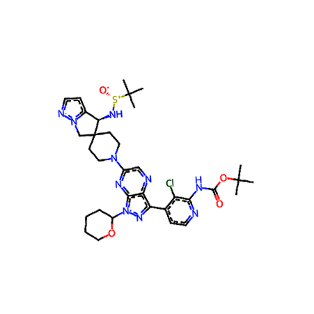 CC(C)(C)OC(=O)Nc1nccc(-c2nn(C3CCCCO3)c3nc(N4CCC5(CC4)Cn4nccc4[C@H]5N[S@+]([O-])C(C)(C)C)cnc23)c1Cl